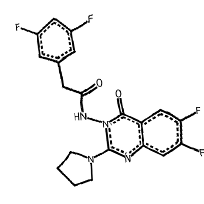 O=C(Cc1cc(F)cc(F)c1)Nn1c(N2CCCC2)nc2cc(F)c(F)cc2c1=O